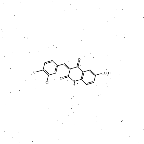 O=C1Nc2ccc(C(=O)O)cc2C(=O)/C1=C/c1ccc(Cl)c(Cl)c1